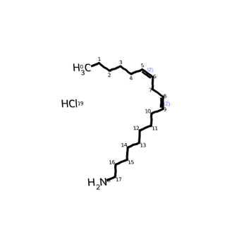 CCCCC/C=C\C/C=C\CCCCCCCCN.Cl